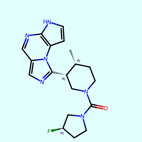 C[C@@H]1CCN(C(=O)N2CC[C@@H](F)C2)C[C@@H]1c1ncc2cnc3[nH]ccc3n12